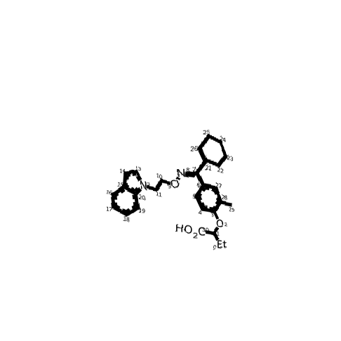 CCC(Oc1ccc(/C(=N\OCCn2ccc3ccccc32)C2CCCCC2)cc1C)C(=O)O